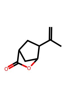 C=C(C)C1CC2CC1OC2=O